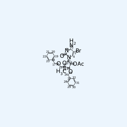 CC(=O)O[C@H]1[C@H](n2cc(Br)c(N)nc2=O)O[C@](C)(COCc2ccccc2)[C@H]1OCc1ccccc1